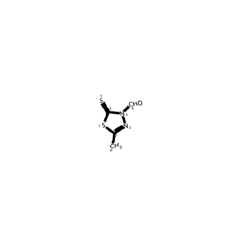 Cc1nn(C=O)c(=S)s1